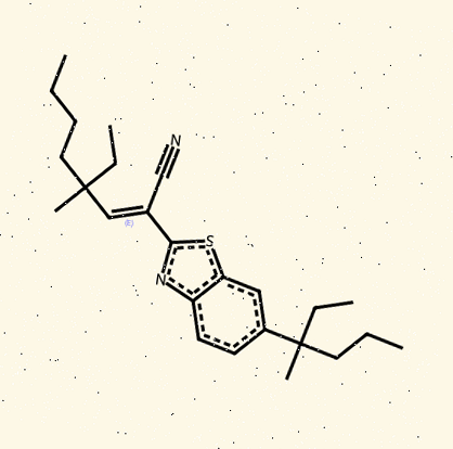 CCCCC(C)(/C=C(\C#N)c1nc2ccc(C(C)(CC)CCC)cc2s1)CC